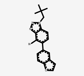 CC(C)(C)Cn1nnc2c(Br)c(-c3ccc4occc4c3)ccc21